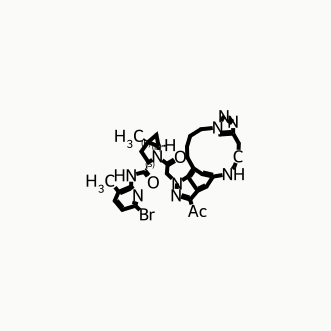 CC(=O)c1nn(CC(=O)N2[C@H](C(=O)Nc3nc(Br)ccc3C)C[C@@]3(C)C[C@@H]23)c2c3cc(cc12)NCCCc1cn(nn1)CCCC3